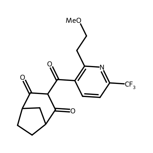 COCCc1nc(C(F)(F)F)ccc1C(=O)C1C(=O)C2CCC(C2)C1=O